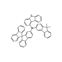 CC1(C)c2ccccc2-c2cc(N(c3ccc4c(c3)C3(c5ccccc5-c5ccccc53)c3ccccc3-4)c3cccc4sc5ccccc5c34)ccc21